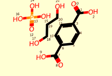 O=C(O)c1ccc(C(=O)O)cc1.O=P(O)(O)O.OCCCO